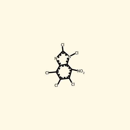 O=[N+]([O-])c1c(Cl)c(Cl)c(Cl)c2nc(Cl)n(Cl)c12